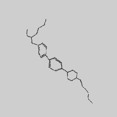 CCCCCC1CCC(c2ccc(-c3ccc(CC(CC)CCCC)cc3)cc2)CC1